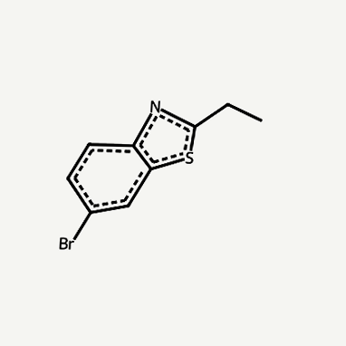 CCc1nc2ccc(Br)cc2s1